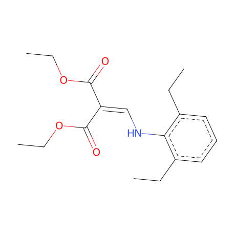 CCOC(=O)C(=CNc1c(CC)cccc1CC)C(=O)OCC